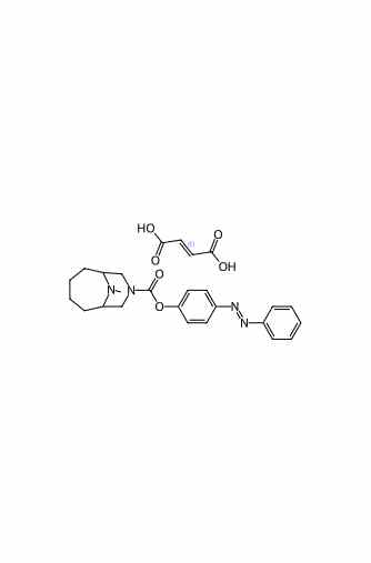 CN1C2CCCCC1CN(C(=O)Oc1ccc(N=Nc3ccccc3)cc1)C2.O=C(O)/C=C/C(=O)O